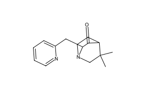 CC1(C)CN2CCC1C(=O)C2Cc1ccccn1